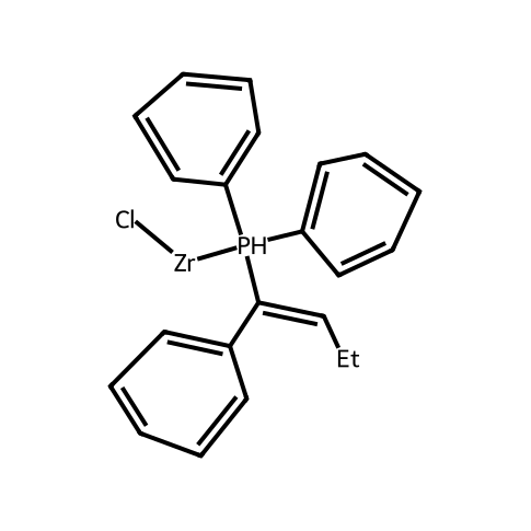 CCC=C(c1ccccc1)[PH]([Zr][Cl])(c1ccccc1)c1ccccc1